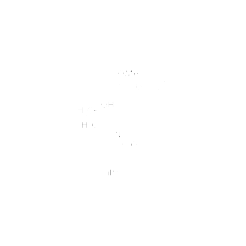 COc1ccc([C@@H]2CN(C(=O)CCC(C)C)C[C@@]2(C)[C@@H](C)O)cc1OCC1CC1